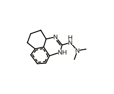 CN(C)NC1=NC2CCCc3cccc(c32)N1